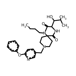 CCCCN1C(=O)C(C(O)C(C)C)NC(=O)C12CCN(Cc1ccc(Oc3ccccc3)nc1)CC2